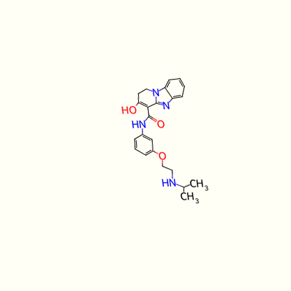 CC(C)NCCOc1cccc(NC(=O)C2=C(O)CCn3c2nc2ccccc23)c1